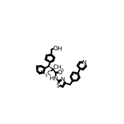 CC(C)(C(=O)Nc1nc(Cc2ccc(-c3ccncc3)cc2)cs1)[C@@H](c1ccccc1)c1ccc(CO)cc1